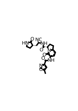 Cc1cc(C(=O)Nc2ccc3n(c2=O)[C@H](C(=O)N[C@H](C#N)C[C@@H]2CCNC2=O)CC3)no1